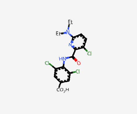 CCN(CC)c1ccc(Cl)c(C(=O)Nc2c(Cl)cc(C(=O)O)cc2Cl)n1